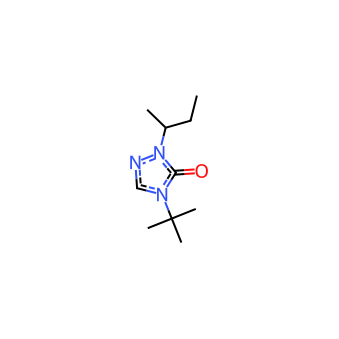 CCC(C)n1ncn(C(C)(C)C)c1=O